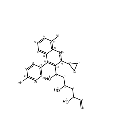 C=CC(O)CC(O)CC(O)c1c(C2CC2)nc2c(C)cccc2c1-c1ccc(F)cc1